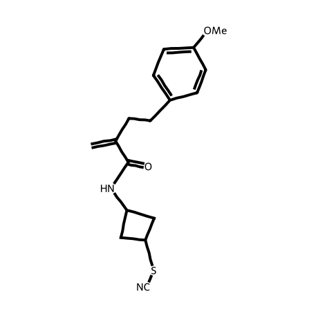 C=C(CCc1ccc(OC)cc1)C(=O)NC1CC(SC#N)C1